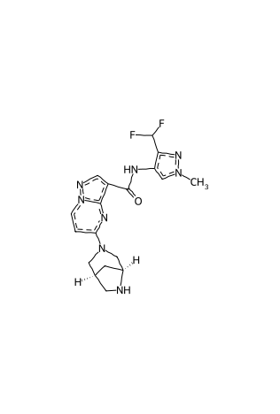 Cn1cc(NC(=O)c2cnn3ccc(N4C[C@@H]5CN[C@@H](C5)C4)nc23)c(C(F)F)n1